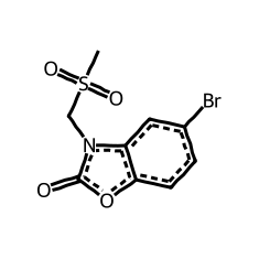 CS(=O)(=O)Cn1c(=O)oc2ccc(Br)cc21